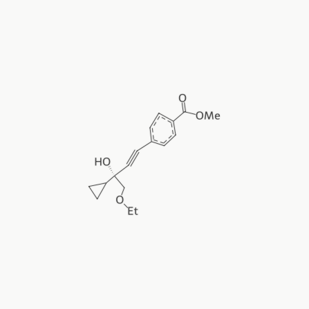 CCOC[C@](O)(C#Cc1ccc(C(=O)OC)cc1)C1CC1